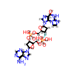 Nc1ncnc2c1ncn2[C@H]1C[C@H](OP(=O)(O)OC[C@H]2O[C@@H](n3cnc4c(=O)[nH]c5nccn5c43)C[C@@H]2F)[C@@H](COP(=O)(O)O)O1